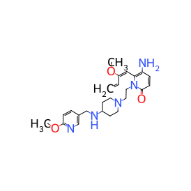 C=C/C(=C\c1c(N)ccc(=O)n1CCN1CCC(NCc2ccc(OC)nc2)CC1)OC